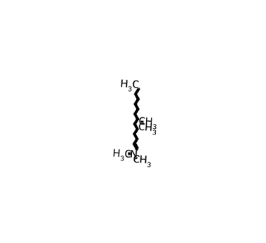 CC.CCCCCCCCCCCCC=CN(C)C